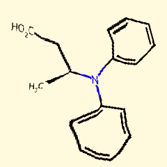 C[C@@H](CC(=O)O)N(c1ccccc1)c1ccccc1